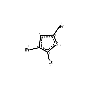 CCc1sc(C(C)C)cc1C(C)C